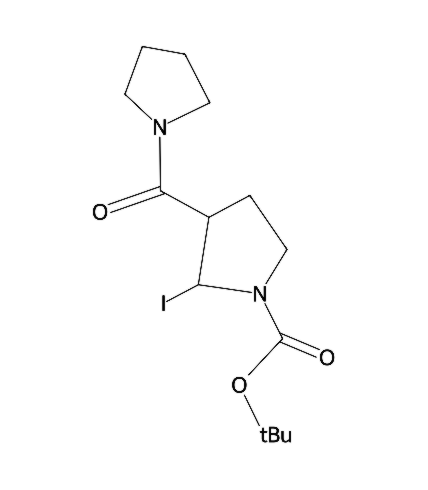 CC(C)(C)OC(=O)N1CCC(C(=O)N2CCCC2)C1I